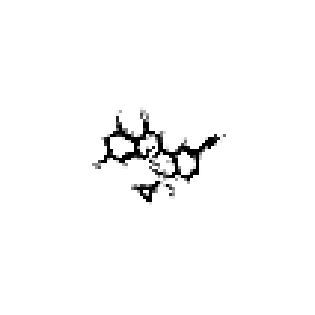 N#Cc1ccc(S(=O)(=O)C2CC2)c(-c2cc(=O)c3c(F)cc(F)cc3[nH]2)c1